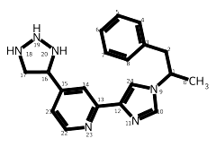 CC(Cc1ccccc1)n1cnc(-c2cc(C3CNNN3)ccn2)c1